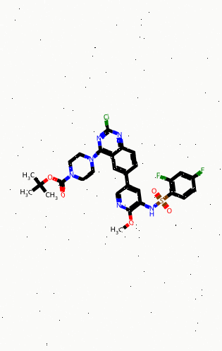 COc1ncc(-c2ccc3nc(Cl)nc(N4CCN(C(=O)OC(C)(C)C)CC4)c3c2)cc1NS(=O)(=O)c1ccc(F)cc1F